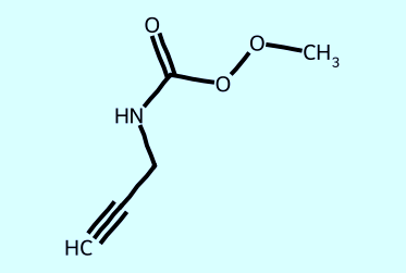 C#CCNC(=O)OOC